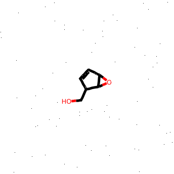 OCC1C=CC2OC12